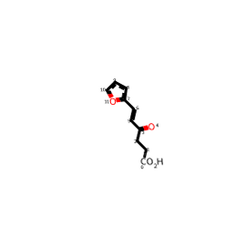 O=C(O)CCC(=O)/C=C/c1ccco1